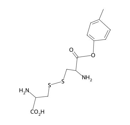 Cc1ccc(OC(=O)C(N)CSSCC(N)C(=O)O)cc1